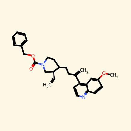 C=C[C@H]1CN(C(=O)OCc2ccccc2)CC[C@H]1CCC(=C)c1ccnc2ccc(OC)cc12